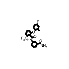 Cc1cc(F)ccc1Oc1cccc(C(F)(F)F)c1C(=O)Nc1cccc(C(N)=O)c1